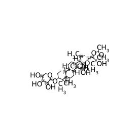 CC(=O)O[C@@H]([C@H]1C[C@@H](C)[C@H]2[C@H](O1)[C@H](O)[C@@]1(C)[C@@H]3CC[C@H]4C(C)(C)C(O[C@@H]5OC[C@@H](O)[C@H](O)[C@H]5O)CC[C@@]45CC35CC[C@]21C)C(C)(C)O